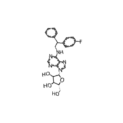 OC[C@H]1O[C@@H](n2cnc3c(NCC(c4ccccc4)c4ccc(F)cc4)ncnc32)C(O)C1O